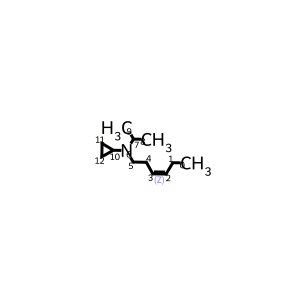 CC/C=C\CCN(C(C)C)C1CC1